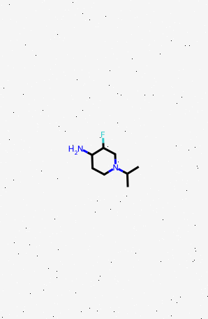 CC(C)N1CCC(N)C(F)C1